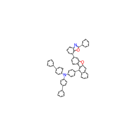 c1ccc(-c2ccc(N(c3ccc(-c4ccccc4)cc3)c3ccc(-c4c5ccccc5cc5oc6cc(-c7cccc8nc(-c9ccccc9)oc78)ccc6c45)cc3)cc2)cc1